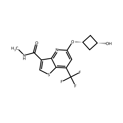 CNC(=O)c1csc2c(C(F)(F)F)cc(O[C@H]3C[C@@H](O)C3)nc12